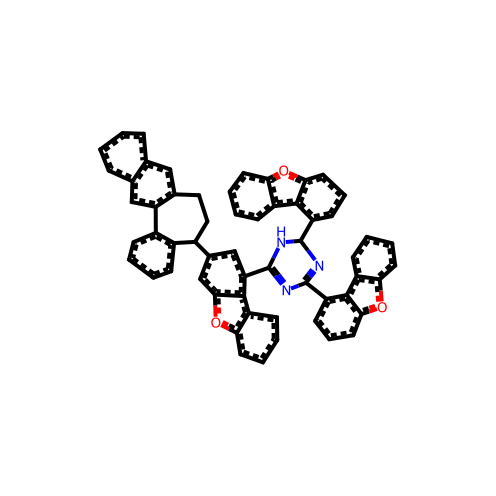 c1ccc2c(c1)-c1cc3ccccc3cc1CCC2c1cc(C2=NC(c3cccc4oc5ccccc5c34)=NC(c3cccc4oc5ccccc5c34)N2)c2c(c1)oc1ccccc12